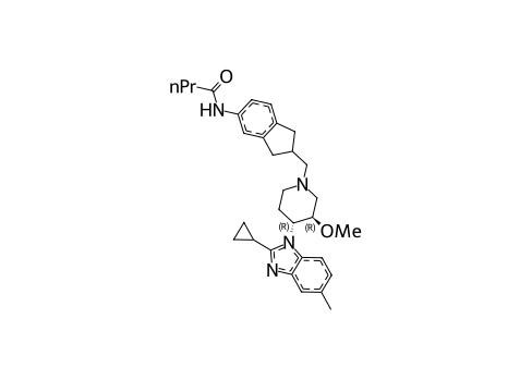 CCCC(=O)Nc1ccc2c(c1)CC(CN1CC[C@@H](n3c(C4CC4)nc4cc(C)ccc43)[C@H](OC)C1)C2